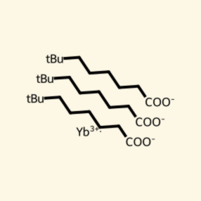 CC(C)(C)CCCCCC(=O)[O-].CC(C)(C)CCCCCC(=O)[O-].CC(C)(C)CCCCCC(=O)[O-].[Yb+3]